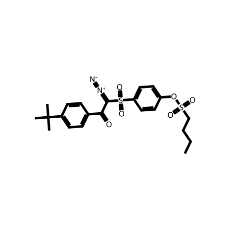 CCCCS(=O)(=O)Oc1ccc(S(=O)(=O)C(=[N+]=[N-])C(=O)c2ccc(C(C)(C)C)cc2)cc1